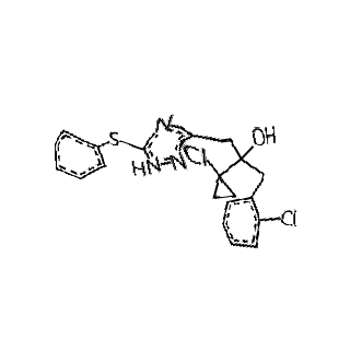 OC(Cc1n[nH]c(Sc2ccccc2)n1)(Cc1ccccc1Cl)C1(Cl)CC1